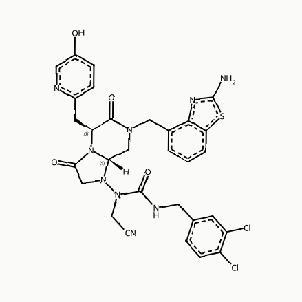 N#CCN(C(=O)NCc1ccc(Cl)c(Cl)c1)N1CC(=O)N2[C@@H](Cc3ccc(O)cn3)C(=O)N(Cc3cccc4sc(N)nc34)C[C@@H]21